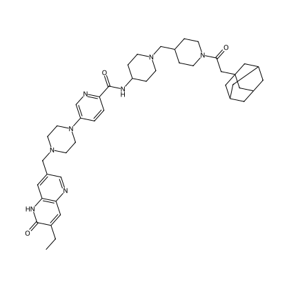 CCc1cc2ncc(CN3CCN(c4ccc(C(=O)NC5CCN(CC6CCN(C(=O)CC78CC9CC(CC(C9)C7)C8)CC6)CC5)nc4)CC3)cc2[nH]c1=O